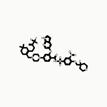 C=C(CCC1=C(CN2CCN(c3ccc(C(=O)NS(=O)(=O)c4ccc(OCC5(F)CCOCC5)c([N+](=O)[O-])c4)c(Oc4cnc5[nH]ccc5c4)c3)CC2)CCC(C)(C)C1)C(F)(F)F